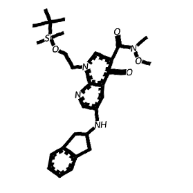 CON(C)C(=O)c1cn(CCO[Si](C)(C)C(C)(C)C)c2ncc(NC3Cc4ccccc4C3)cc2c1=O